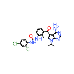 Cc1c(NC(=O)Nc2ccc(Cl)cc2Cl)cccc1C(=O)c1cn(C(C)C)c2ncnc(N)c12